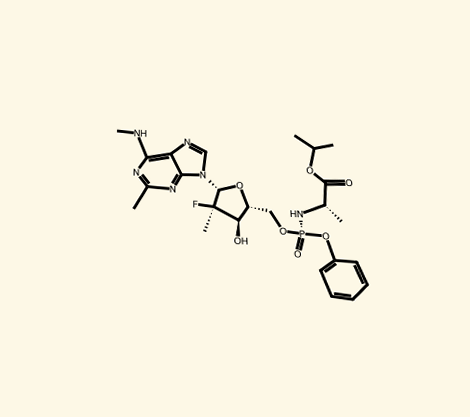 CNc1nc(C)nc2c1ncn2[C@@H]1O[C@H](CO[P@@](=O)(N[C@@H](C)C(=O)OC(C)C)Oc2ccccc2)[C@@H](O)[C@@]1(C)F